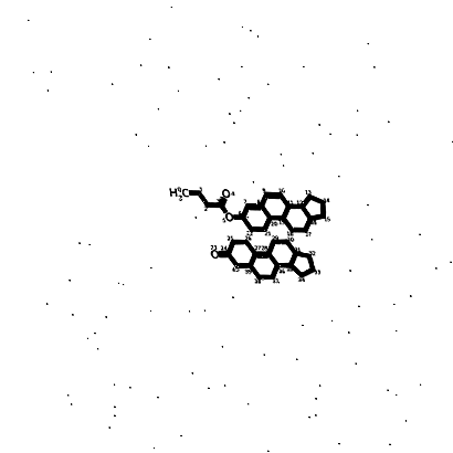 CCCC(=O)OC1C=C2C=CC3C4CCCC4CCC3C2CC1.O=C1CCC2=C3CCC4CCCC4C3CCC2C1